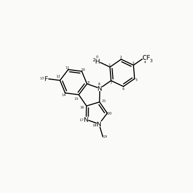 [2H]c1cc(C(F)(F)F)ccc1-n1c2ccc(F)cc2c2nn(C)cc21